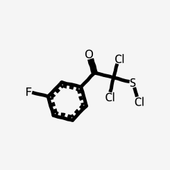 O=C(c1cccc(F)c1)C(Cl)(Cl)SCl